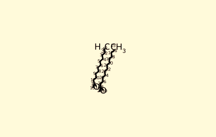 CCCCCCCCCCCCC1CO1.CCCCCCCCCCCCCC1CO1